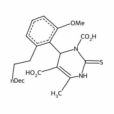 CCCCCCCCCCCCc1cccc(OC)c1C1C(C(=O)O)=C(C)NC(=S)N1C(=O)O